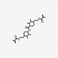 C=C(C)C(=O)OCCC1CCC(OC(=O)C2CCC(CCOC(=O)C(=C)C)C(C)C2C)C(C)C1C